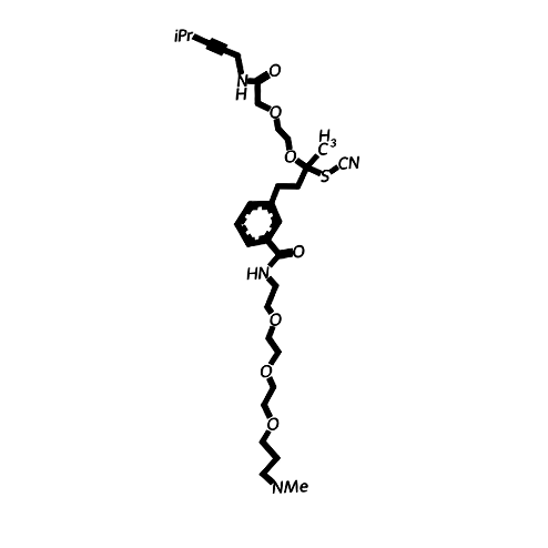 CNCCCOCCOCCOCCNC(=O)c1cccc(CCC(C)(OCCOCC(=O)NCC#CC(C)C)SC#N)c1